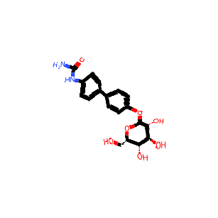 NC(=O)Nc1ccc(-c2ccc(OC3O[C@@H](CO)[C@@H](O)[C@H](O)[C@H]3O)cc2)cc1